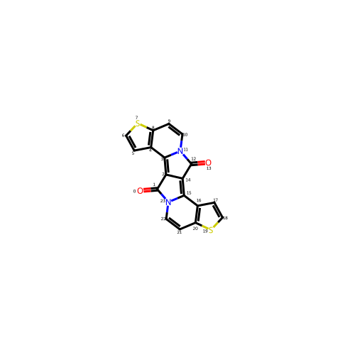 O=C1C2=C3c4ccsc4C=CN3C(=O)C2=C2c3ccsc3C=CN12